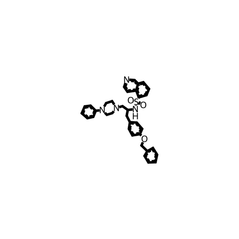 O=S(=O)(NC(Cc1ccc(OCc2ccccc2)cc1)CN1CCN(c2ccccc2)CC1)c1cccc2cnccc12